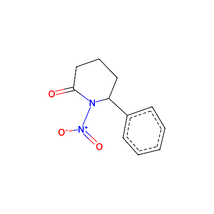 O=C1CCCC(c2ccccc2)N1[N+](=O)[O-]